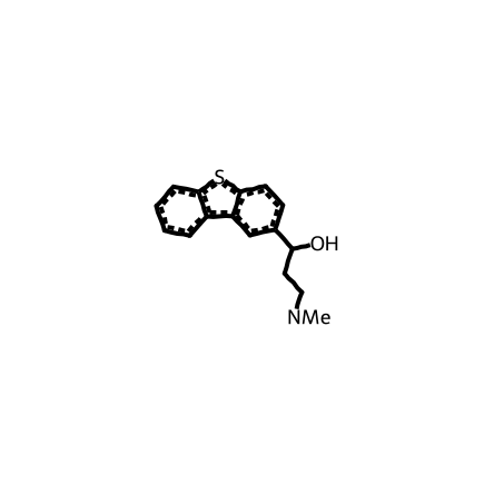 CNCCC(O)c1ccc2sc3ccccc3c2c1